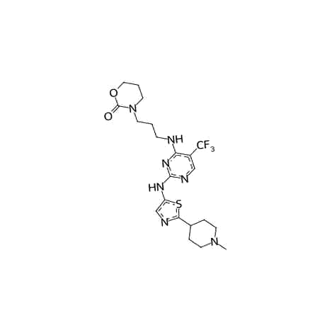 CN1CCC(c2ncc(Nc3ncc(C(F)(F)F)c(NCCCN4CCCOC4=O)n3)s2)CC1